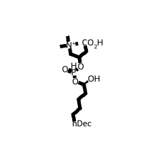 CCCCCCCCCCCCCC[C@H](O)O[PH](=O)OC(CC(=O)O)C[N+](C)(C)C